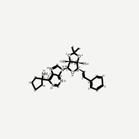 CC1(C)O[C@@H]2[C@H](O1)[C@@H](C=Cc1ccccc1)O[C@H]2n1cnc2c(C3(N)CCCC3)ncnc21